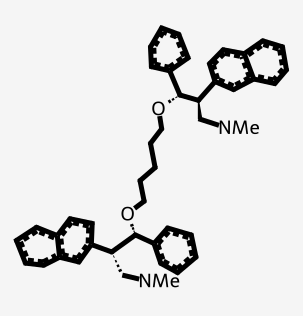 CNC[C@H](c1ccc2ccccc2c1)[C@H](OCCCCCO[C@H](c1ccccc1)[C@H](CNC)c1ccc2ccccc2c1)c1ccccc1